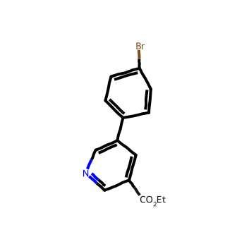 CCOC(=O)c1cncc(-c2ccc(Br)cc2)c1